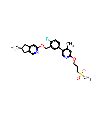 Cc1cc(OCCCS(C)(=O)=O)ncc1-c1ccc(F)c(COc2cc3c(cn2)CC(C)C3)c1